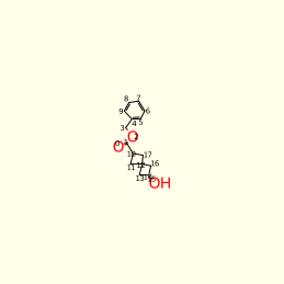 O=C(OCc1ccccc1)C1CC2(CC(O)C2)C1